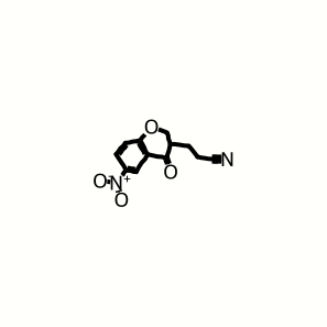 N#CCCC1COc2ccc([N+](=O)[O-])cc2C1=O